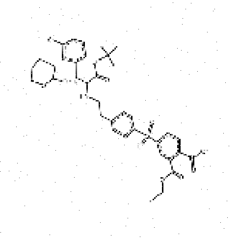 CCOC(=O)c1cc(S(=O)(=O)c2ccc(CCNC(C(=O)OC(C)(C)C)[C@H](OC3CCCCO3)c3cccc(Cl)c3)cc2)ccc1[N+](=O)[O-]